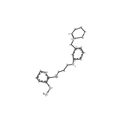 COc1cccnc1NCCCOc1cccc(CN2CCCCC2)c1